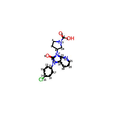 O=C(O)N1CCC(n2c(=O)n(-c3ccc(Cl)cc3)c3cccnc32)C1